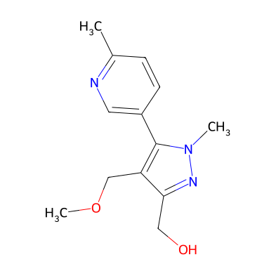 COCc1c(CO)nn(C)c1-c1ccc(C)nc1